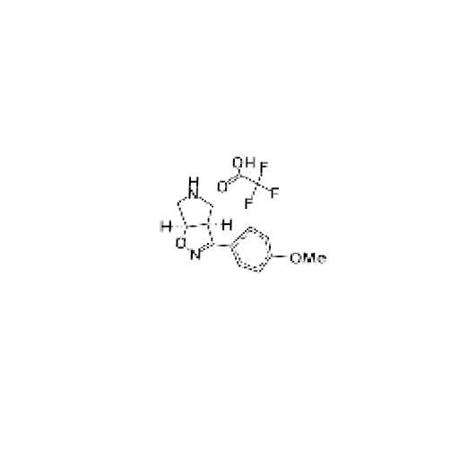 COc1ccc(C2=NO[C@H]3CNC[C@@H]23)cc1.O=C(O)C(F)(F)F